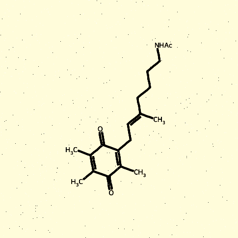 CC(=O)NCCCC/C(C)=C/CC1=C(C)C(=O)C(C)=C(C)C1=O